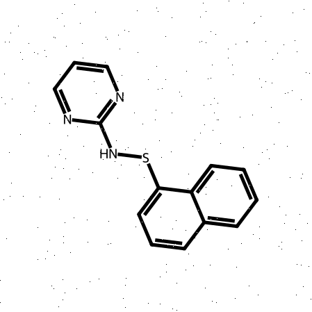 c1cnc(NSc2cccc3ccccc23)nc1